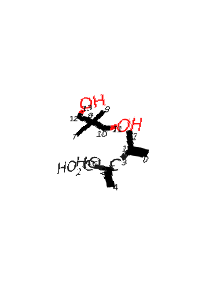 C=C(C)C(=O)O.C=CC(=O)O.CC(C)(CO)CO